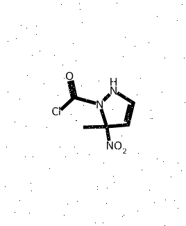 CC1([N+](=O)[O-])C=CNN1C(=O)Cl